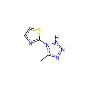 Cc1nn[nH][n+]1-c1nccs1